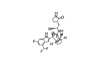 N#C[C@@H](C[C@H]1CCNC1=O)NC(=O)[C@@H]1[C@H]2CC[C@H](CC2(F)F)N1C(=O)c1cc2c(C(F)F)cc(F)cc2[nH]1